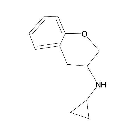 c1ccc2c(c1)CC(NC1CC1)CO2